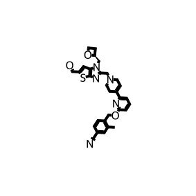 Cc1cc(C#N)ccc1COc1cccc(C2=CCN(Cc3nc4sc(C=O)cc4n3C[C@@H]3CCO3)CC2)n1